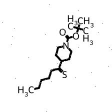 CCCCCC(=S)C1CCN(C(=O)OC(C)(C)C)CC1